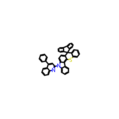 c1ccc(-c2cc(-n3c4ccccc4c4c5c(ccc43)C3(c4ccccc4S5)c4ccccc4-c4ccccc43)nc3ccccc23)cc1